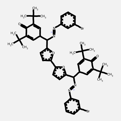 CC(C)(C)C1=CC(C(/N=N/c2cccc(Br)c2)c2ccc(-c3ccc(C(/N=N/c4cccc(Br)c4)C4C=C(C(C)(C)C)C(=O)C(C(C)(C)C)=C4)o3)o2)C=C(C(C)(C)C)C1=O